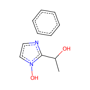 CC(O)c1nccn1O.c1ccccc1